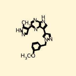 COc1cccc(Cn2cc(-c3c[nH]c4ncc(-c5cn[nH]c5C)nc34)cn2)c1